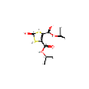 CC(C)OC(=O)c1sc(=O)sc1C(=O)OC(C)C